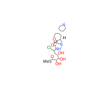 CSC1O[C@H]([C@H](NC(=O)[C@@H]2[C@@H]3OCC[C@H](C4CCN(C)CC4)C[C@H]3CN2C)[C@H](C)Cl)C(O)[C@@H](O)[C@H]1O